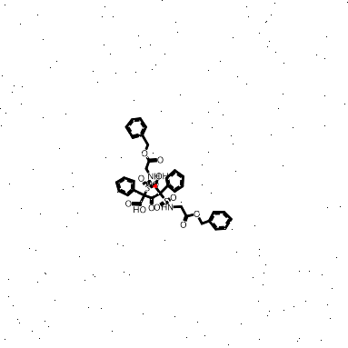 O=C(CNS(=O)(=O)C(C(=O)O)(C(=O)C(C(=O)O)(c1ccccc1)S(=O)(=O)NCC(=O)OCc1ccccc1)c1ccccc1)OCc1ccccc1